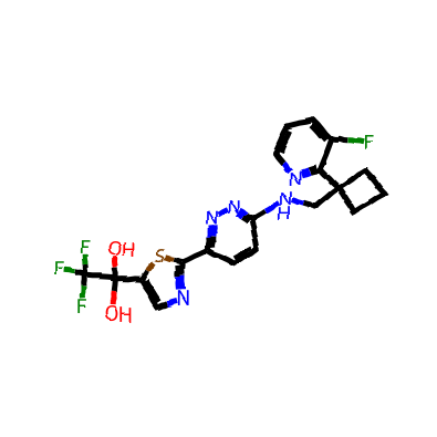 OC(O)(c1cnc(-c2ccc(NCC3(c4ncccc4F)CCC3)nn2)s1)C(F)(F)F